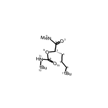 CNC(=O)[C@H](CCCC(C)(C)C)OC(=O)NC(C)(C)C